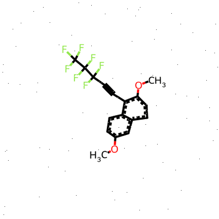 COc1ccc2c(C#CC(F)(F)C(F)(F)C(F)(F)F)c(OC)ccc2c1